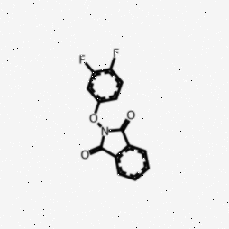 O=C1c2ccccc2C(=O)N1Oc1ccc(F)c(F)c1